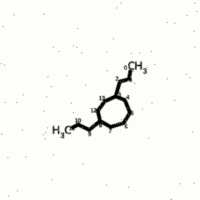 CCCC1CCCCC(CCC)CC1